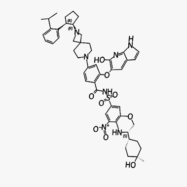 CC(C)c1ccccc1[C@H]1CCC[C@H]1N1CC2(CCN(c3ccc(C(=O)NS(=O)(=O)c4cc5c(c([N+](=O)[O-])c4)N[C@@H]([C@H]4CC[C@](C)(O)CC4)CO5)c(Oc4cc5cc[nH]c5nc4O)c3)CC2)C1